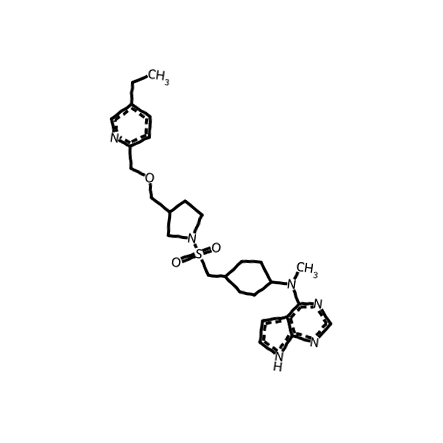 CCc1ccc(COCC2CCN(S(=O)(=O)CC3CCC(N(C)c4ncnc5[nH]ccc45)CC3)C2)nc1